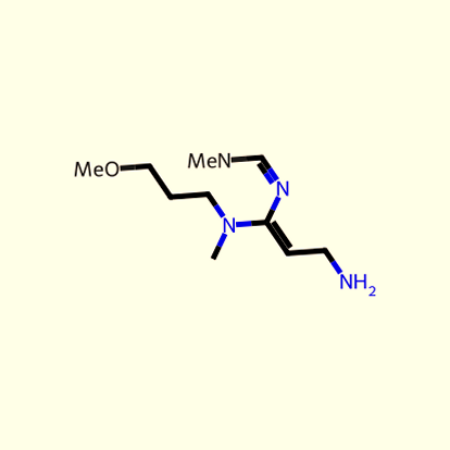 CN/C=N\C(=C/CN)N(C)CCCOC